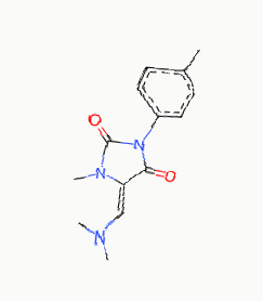 Cc1ccc(N2C(=O)C(=CN(C)C)N(C)C2=O)cc1